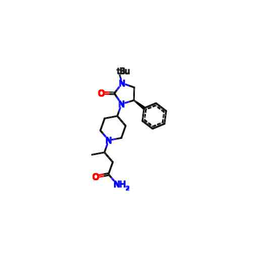 CC(CC(N)=O)N1CCC(N2C(=O)N(C(C)(C)C)C[C@H]2c2ccccc2)CC1